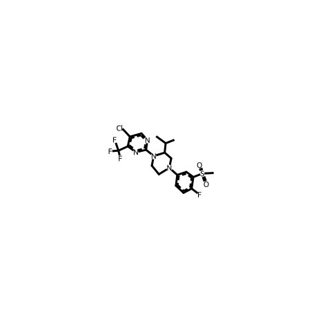 CC(C)C1CN(c2ccc(F)c(S(C)(=O)=O)c2)CCN1c1ncc(Cl)c(C(F)(F)F)n1